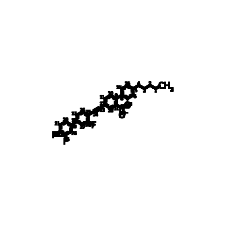 CCCCCc1ccc(-c2ccc(C#Cc3ccc(-c4ccc(F)c(F)c4)cc3F)cc2[N+](=O)[O-])cc1